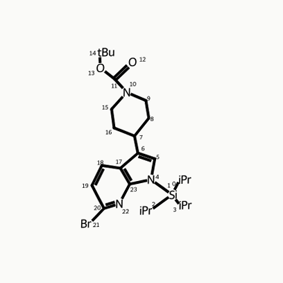 CC(C)[Si](C(C)C)(C(C)C)n1cc(C2CCN(C(=O)OC(C)(C)C)CC2)c2ccc(Br)nc21